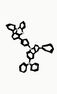 c1ccc(-c2ccc3c(c2)c2cc(N(c4ccccc4)c4ccccc4)ccc2n3-c2ccc(-c3ccc4c5ccccc5n5c4c3Oc3ccccc3-5)cc2)cc1